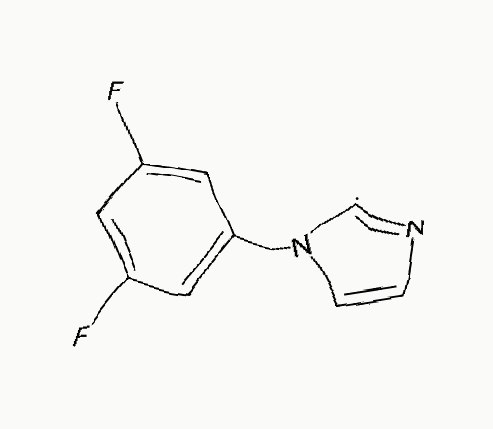 Fc1cc(F)cc(-n2[c]ncc2)c1